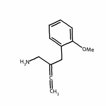 C=C=C(CN)Cc1ccccc1OC